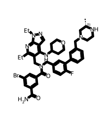 CCc1nc2c(cnn2CC)c(NC2CCOCC2)c1CN(Cc1ccc(F)c(-c2cccc(CN3CCN[C@@H](C)C3)c2)c1)C(=O)c1cc(Br)cc(C(N)=O)c1